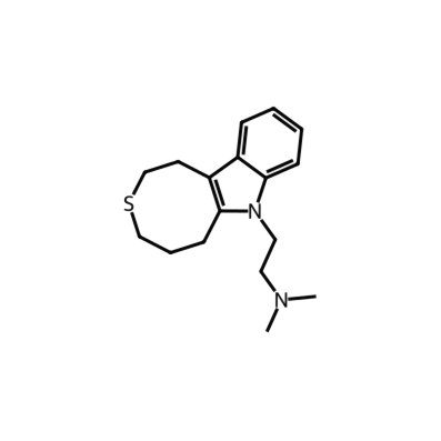 CN(C)CCn1c2c(c3ccccc31)CCSCCC2